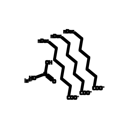 CCCCCCCCCCCCCCCC(=O)[O-].CCCCCCCCCCCCCCCC(=O)[O-].CCCCCCCCCCCCCCCC(=O)[O-].O=[Si](O)O.[In+3]